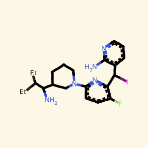 CCC(CC)C(N)C1CCCN(c2ccc(F)c(C(I)c3cccnc3N)n2)C1